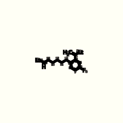 C=C(CC)c1cc(F)ccc1CCCCCNCC